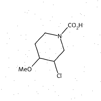 COC1CCN(C(=O)O)CC1Cl